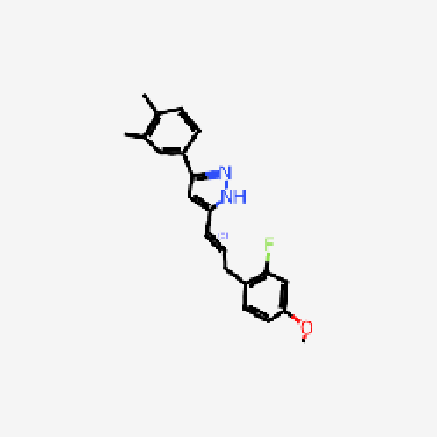 COc1ccc(C/C=C/c2cc(-c3ccc(C)c(C)c3)n[nH]2)c(F)c1